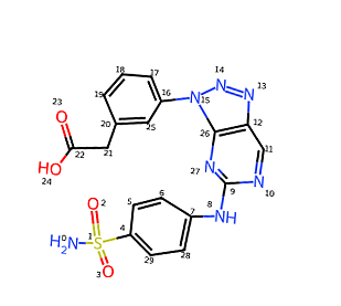 NS(=O)(=O)c1ccc(Nc2ncc3nnn(-c4cccc(CC(=O)O)c4)c3n2)cc1